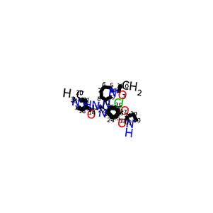 C=CC(=O)N1CCCC[C@@H](n2c(NC(=O)c3ccnc(C)c3)nc3ccc(OC4CCNC4=O)c(Cl)c32)C1